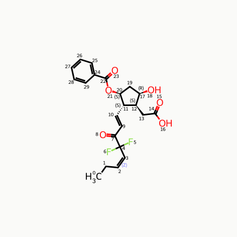 CC/C=C\C(F)(F)C(=O)C=C[C@H]1[C@H](CC(=O)O)[C@H](O)C[C@@H]1OC(=O)c1ccccc1